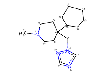 CN1CCC(Cn2cncn2)(C2CCCCC2)CC1